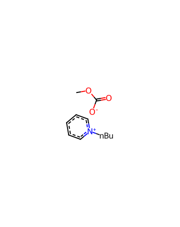 CCCC[n+]1ccccc1.COC(=O)[O-]